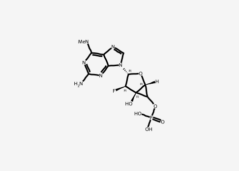 CNc1nc(N)nc2c1ncn2[C@@H]1O[C@@H]2C(OP(=O)(O)O)[C@]2(O)[C@H]1F